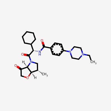 CCN1CCN(c2ccc(C(=O)N[C@H](C(=O)N3C[C@H](C)[C@H]4OCC(=O)[C@H]43)C3CCCCC3)cc2)CC1